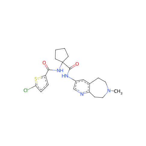 CN1CCc2cc(NC(=O)C3(NC(=O)c4ccc(Cl)s4)CCCC3)cnc2CC1